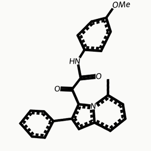 COc1ccc(NC(=O)C(=O)c2c(-c3ccccc3)cc3cccc(C)n23)cc1